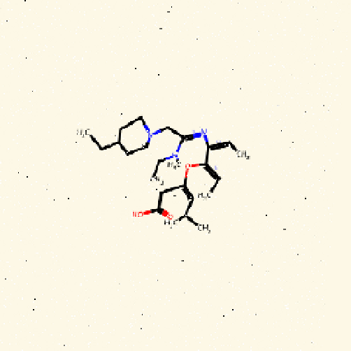 C/C=C(OC(=CC(C)C)CC(=O)O)/C(=C\C)/N=C(/CN1CCC(CC)CC1)N(C)CC